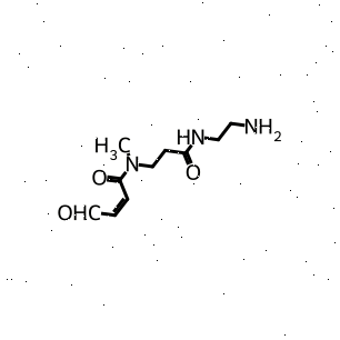 CN(CCC(=O)NCCN)C(=O)/C=C\C=O